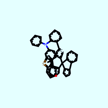 CC1(C)c2ccccc2C2(c3ccccc3-c3ccccc32)c2ccc(-c3ccccc3N(c3ccccc3)c3ccc4c(c3)sc3ccccc34)cc21